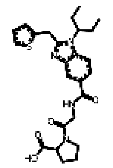 CCC(CC)n1c(Cc2cccs2)nc2cc(C(=O)NCC(=O)N3CCCC3C(=O)O)ccc21